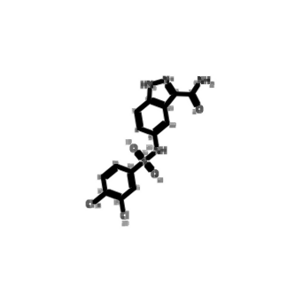 NC(=O)c1n[nH]c2ccc(NS(=O)(=O)c3ccc(Cl)c(Cl)c3)cc12